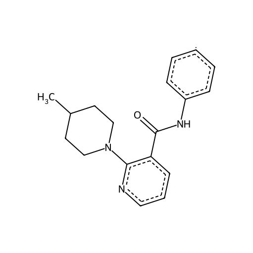 CC1CCN(c2ncccc2C(=O)Nc2cc[c]cc2)CC1